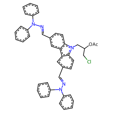 CC(=O)OC(CCl)Cn1c2ccc(/C=N/N(c3ccccc3)c3ccccc3)cc2c2cc(/C=N/N(c3ccccc3)c3ccccc3)ccc21